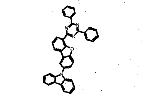 c1ccc(-c2nc(-c3ccccc3)nc(-c3cccc4c3oc3ccc(-n5c6ccccc6c6ccccc65)cc34)n2)cc1